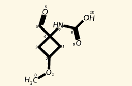 COC1CC(C=O)(NC(=O)O)C1